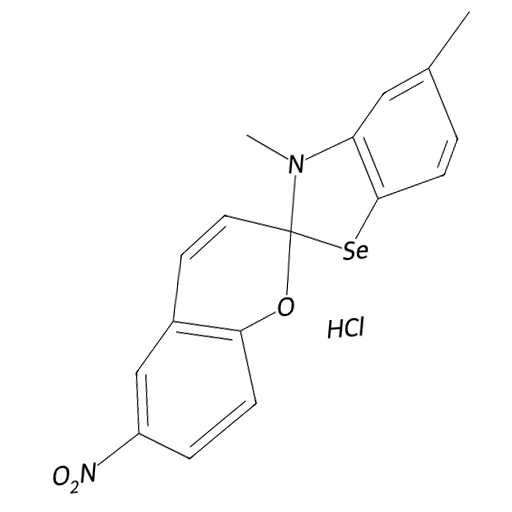 Cc1ccc2c(c1)N(C)C1(C=Cc3cc([N+](=O)[O-])ccc3O1)[Se]2.Cl